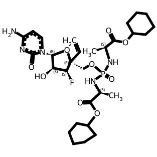 C=C[C@]1(COP(=O)(N[C@@H](C)C(=O)OC2CCCCC2)N[C@@H](C)C(=O)OC2CCCCC2)O[C@@H](n2ccc(N)nc2=O)[C@H](O)[C@@H]1F